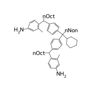 CCCCCCCCCC(c1ccc(C(CCCCCCCC)c2ccc(N)cc2C)cc1)(c1ccc(C(CCCCCCCC)c2ccc(N)cc2C)cc1)C1CCCCC1